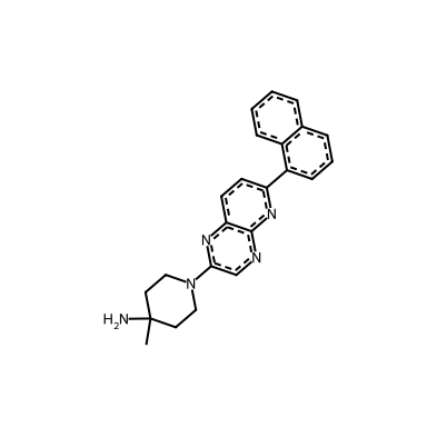 CC1(N)CCN(c2cnc3nc(-c4cccc5ccccc45)ccc3n2)CC1